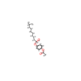 CCC(=O)Oc1ccc(OC(=O)CCCCCCCC(C)C)cc1